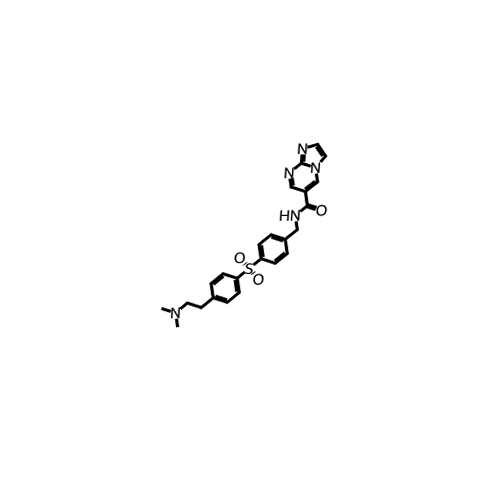 CN(C)CCc1ccc(S(=O)(=O)c2ccc(CNC(=O)c3cnc4nccn4c3)cc2)cc1